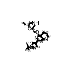 CC[C@@H]1CNC[C@@H](COc2nc(-c3cnn(C(C)(C)C)c3)cc3ncccc23)O1